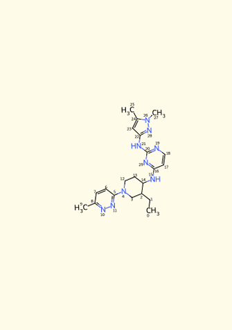 CCC1CN(c2ccc(C)nn2)CCC1Nc1ccnc(Nc2cc(C)n(C)n2)n1